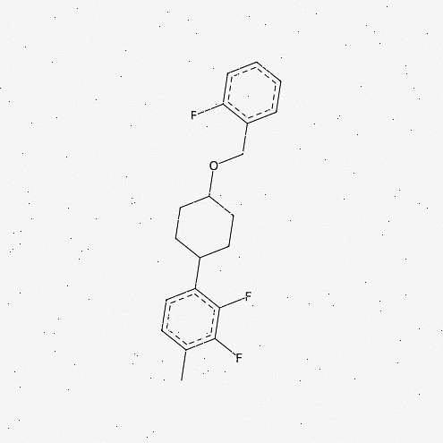 Cc1ccc(C2CCC(OCc3ccccc3F)CC2)c(F)c1F